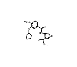 COc1ccc(C(=O)Nc2n[nH]cc2C(N)=O)cc1OC1CCCC1